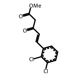 COC(=O)CC(=O)C=Cc1cccc(Cl)c1Cl